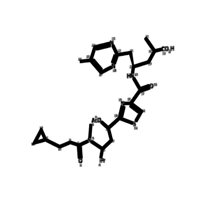 CC(=O)OC(CC(C(C)C)N(C)C(=O)CCC1CC1)c1nc(C(=O)N[C@@H](Cc2ncc(C)cn2)CC(C)C(=O)O)cs1